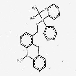 CN1c2ccccc2Sc2c(CO[Si](c3ccccc3)(c3ccccc3)C(C)(C)C)cccc21